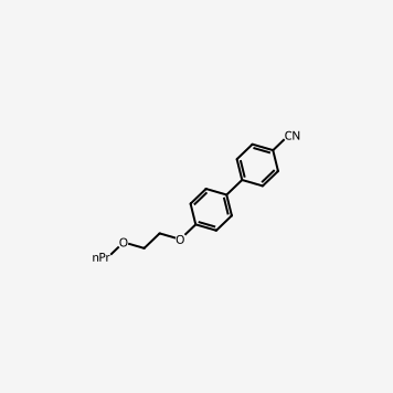 CCCOCCOc1ccc(-c2ccc(C#N)cc2)cc1